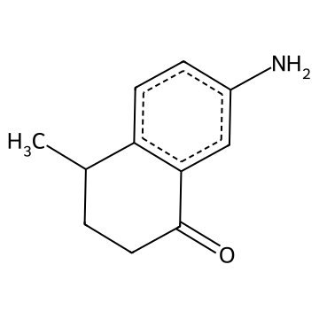 CC1CCC(=O)c2cc(N)ccc21